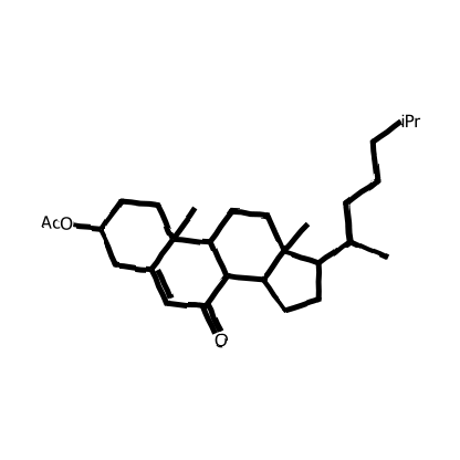 CC(=O)OC1CCC2(C)C(=CC(=O)C3C2CCC2(C)C(C(C)CCCC(C)C)CCC32)C1